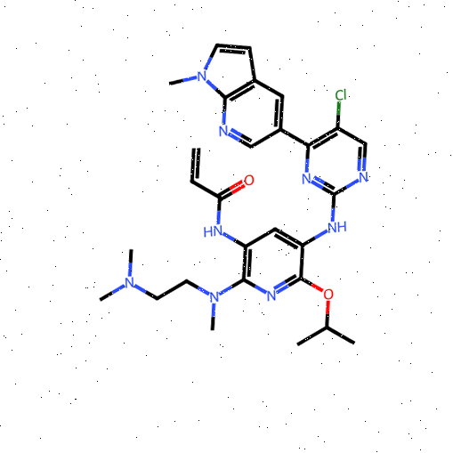 C=CC(=O)Nc1cc(Nc2ncc(Cl)c(-c3cnc4c(ccn4C)c3)n2)c(OC(C)C)nc1N(C)CCN(C)C